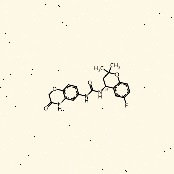 CC1(C)C[C@H](NC(=O)Nc2ccc3c(c2)NC(=O)CO3)c2cc(F)ccc2O1